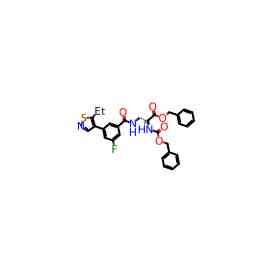 CCc1sncc1-c1cc(F)cc(C(=O)NC[C@@H](NC(=O)OCc2ccccc2)C(=O)OCc2ccccc2)c1